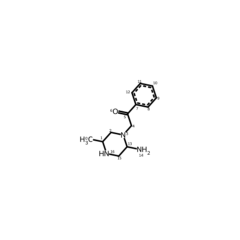 CC1CN(CC(=O)c2ccccc2)C(N)CN1